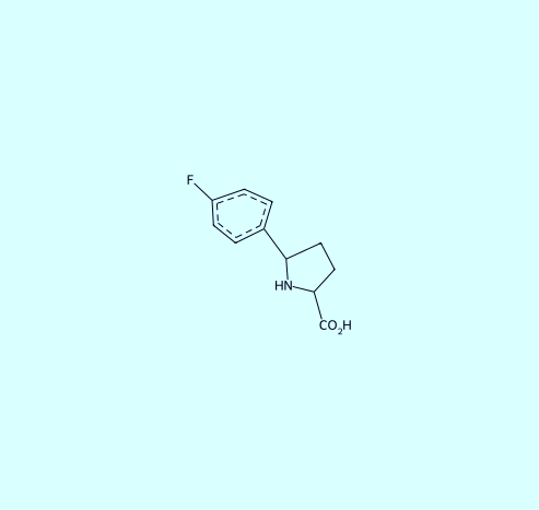 O=C(O)C1CCC(c2ccc(F)cc2)N1